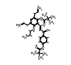 C=CCc1cc(CC=C)c(OC(=O)C(C)(C)C)c(/C=C/C(=O)c2ccc(OC(=O)C(C)(C)C)cc2)c1OCCC